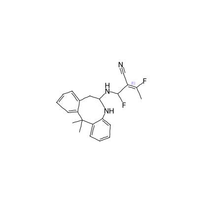 C/C(F)=C(/C#N)C(F)NC1Cc2ccccc2C(C)(C)c2ccccc2N1